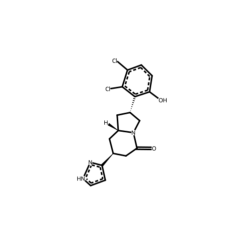 O=C1C[C@@H](c2cc[nH]n2)C[C@@H]2C[C@H](c3c(O)ccc(Cl)c3Cl)CN12